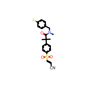 CN(Cc1ccc(F)cc1)C(=O)C(C)(C)c1ccc(S(=O)(=O)C=CC#N)cc1